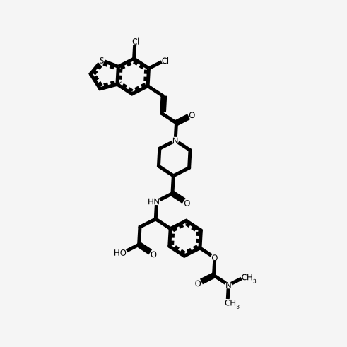 CN(C)C(=O)Oc1ccc(C(CC(=O)O)NC(=O)C2CCN(C(=O)C=Cc3cc4ccsc4c(Cl)c3Cl)CC2)cc1